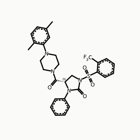 Cc1ccc(C)c(N2CCN(C(=O)[C@@H]3CN(S(=O)(=O)c4ccccc4C(F)(F)F)C(=O)N3c3ccccc3)CC2)c1